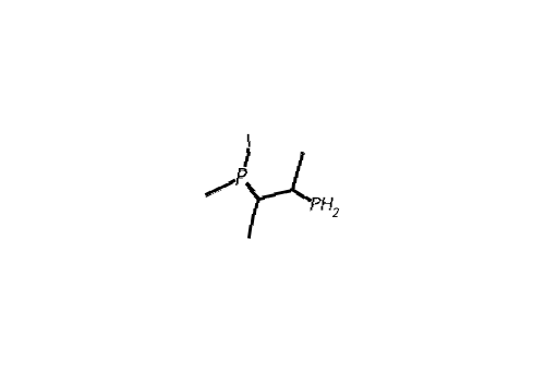 CC(P)C(C)P(C)I